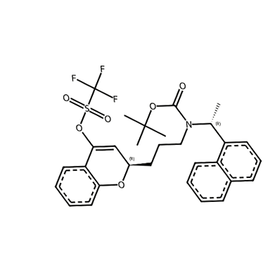 C[C@H](c1cccc2ccccc12)N(CCC[C@@H]1C=C(OS(=O)(=O)C(F)(F)F)c2ccccc2O1)C(=O)OC(C)(C)C